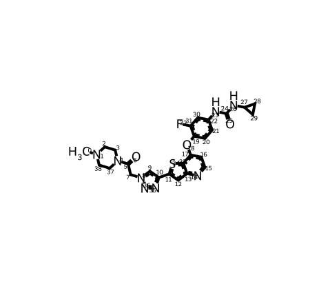 CN1CCN(C(=O)Cn2cc(-c3cc4nccc(Oc5ccc(NC(=O)NC6CC6)cc5F)c4s3)nn2)CC1